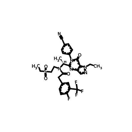 CCn1ncc2nc([C@@H](C)N(CCS(=O)(=O)CC)C(=O)Cc3ccc(F)c(C(F)(F)F)c3)n(-c3ccc(C#N)cc3)c(=O)c21